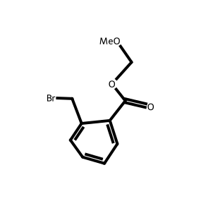 COCOC(=O)c1ccccc1CBr